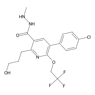 CNNC(=O)c1cc(-c2ccc(Cl)cc2)c(OCC(F)(F)F)nc1CCCO